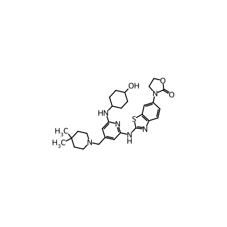 CC1(C)CCN(Cc2cc(Nc3nc4ccc(N5CCOC5=O)cc4s3)nc(NC3CCC(O)CC3)c2)CC1